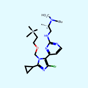 C[C@@H](CNc1nccc(-c2c(Br)nc(C3CC3)n2COCC[Si](C)(C)C)n1)N(C(=O)O)C(C)(C)C